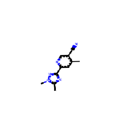 [CH2]c1nc(-c2cc(C)c(C#N)cn2)nn1C